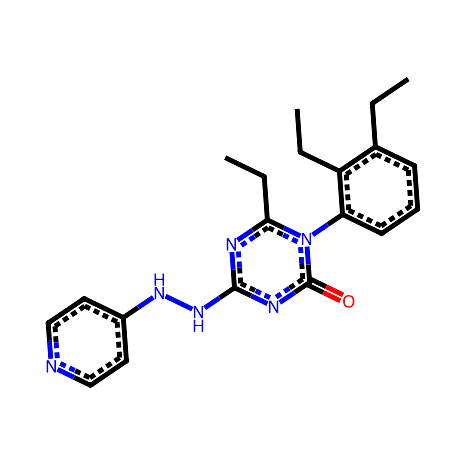 CCc1cccc(-n2c(CC)nc(NNc3ccncc3)nc2=O)c1CC